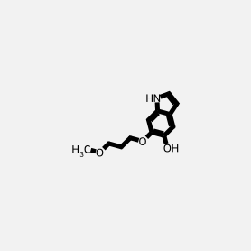 COCCCOc1cc2[nH]ccc2cc1O